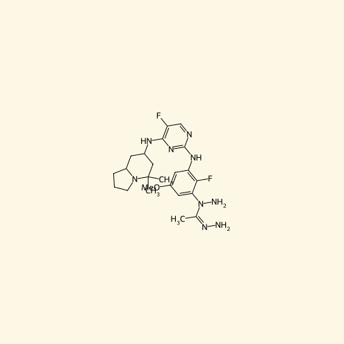 COc1cc(Nc2ncc(F)c(NC3CC4CCCN4C(C)(C)C3)n2)c(F)c(N(N)/C(C)=N\N)c1